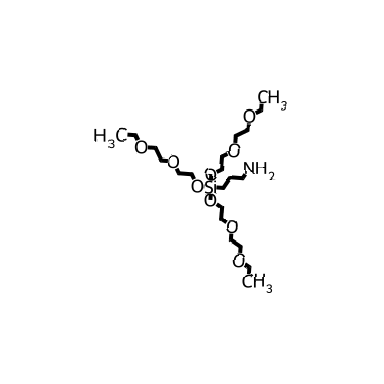 CCOCCOCCO[Si](CCCN)(OCCOCCOCC)OCCOCCOCC